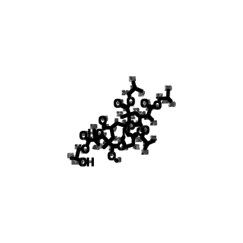 COC(=O)C(C)(CC(CC(CC(C)(CC(C(=O)OCC(C)C)C(C)C(=O)OCC(C)C)C(=O)OCC(C)C)N1CCCC1=O)C(=O)O)CC(C)(C)C(=O)OCC(C)O